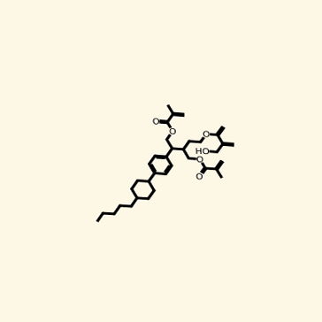 C=C(C)C(=O)OCC(CCOC(=C)C(=C)CO)C(COC(=O)C(=C)C)c1ccc(C2CCC(CCCCC)CC2)cc1